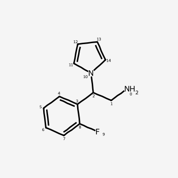 NCC(c1ccccc1F)n1cccc1